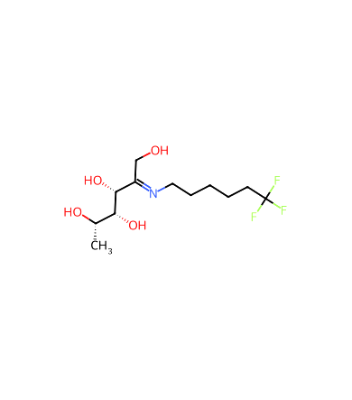 C[C@H](O)[C@@H](O)[C@H](O)C(CO)=NCCCCCC(F)(F)F